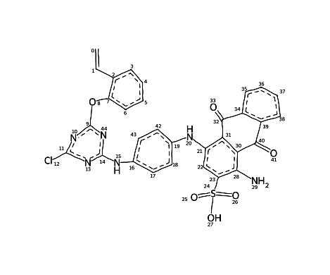 C=Cc1ccccc1Oc1nc(Cl)nc(Nc2ccc(Nc3cc(S(=O)(=O)O)c(N)c4c3C(=O)c3ccccc3C4=O)cc2)n1